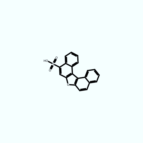 O=S(=O)(O)c1cc2oc3ccc4ccccc4c3c2c2ccccc12